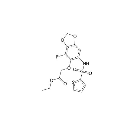 CCOC(=O)COc1c(NS(=O)(=O)c2cccs2)cc2c(c1F)OCO2